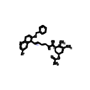 CC1CC(OC(N)=O)C[C@@H](C(=O)NCC/C=C/c2c(OCc3ccccc3)ccc3ncc(Br)cc23)N1C